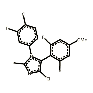 COc1cc(F)c(-c2c(Cl)nc(C)n2-c2ccc(Cl)c(F)c2)c(F)c1